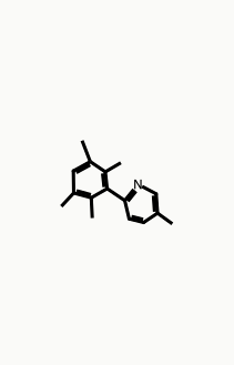 Cc1ccc(-c2c(C)c(C)cc(C)c2C)nc1